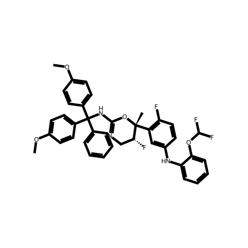 COc1ccc(C(NC2=NC[C@@H](F)[C@@](C)(c3cc(Nc4ccccc4OC(F)F)ccc3F)O2)(c2ccccc2)c2ccc(OC)cc2)cc1